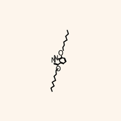 CCCCCCCCOc1cnnc2c(OCCCCCCCC)cccc12